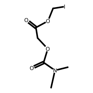 CN(C)C(=O)OCC(=O)OCI